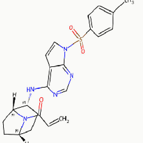 C=CC(=O)N1[C@H]2CC[C@@H]1[C@H](Nc1ncnc3c1ccn3S(=O)(=O)c1ccc(C)cc1)CC2